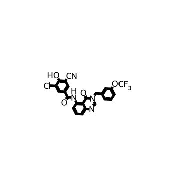 N#Cc1cc(C(=O)Nc2cccc3ncn(Cc4cccc(OC(F)(F)F)c4)c(=O)c23)cc(Cl)c1O